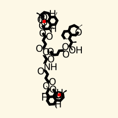 C[C@H]([C@@H]1CCCC2CC[C@H](C)OCC21)[C@@H](O)OC(=O)CCC(=O)OC(CNC(=O)CCC(=O)O[C@@H]1O[C@@H]2O[C@@]3(C)CC[C@H]4[C@H](C)CC[C@@H]([C@H]1C)[C@@]24OO3)COC(=O)CCC(=O)O[C@@H]1O[C@@H]2O[C@@]3(C)CC[C@H]4[C@H](C)CC[C@@H]([C@H]1C)[C@@]24OO3